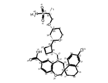 C[C@H](CO[C@@H]1CCO[C@H]([C@@H]2CC[C@H]2CN2C[C@@]3(CCCc4cc(Cl)ccc43)COc3ccc(C(=O)O)cc32)C1)S(N)(=O)=O